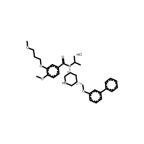 COCCCOc1cc(C(=O)N(C(C)C)[C@H]2CNC[C@@H](COc3cccc(-c4ccccc4)c3)C2)ccc1OC.Cl